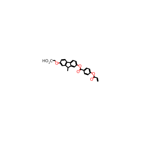 C=CC(=O)Oc1ccc(C(=O)Oc2ccc3c(c2)C(C)c2cc(OCC(=O)O)ccc2-3)cc1